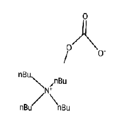 CCCC[N+](CCCC)(CCCC)CCCC.COC(=O)[O-]